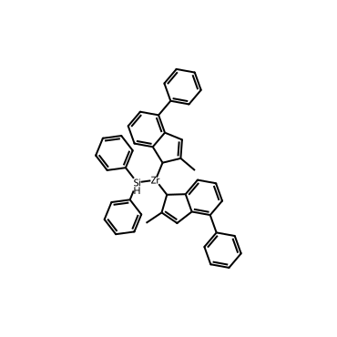 CC1=Cc2c(-c3ccccc3)cccc2[CH]1[Zr]([CH]1C(C)=Cc2c(-c3ccccc3)cccc21)[SiH](c1ccccc1)c1ccccc1